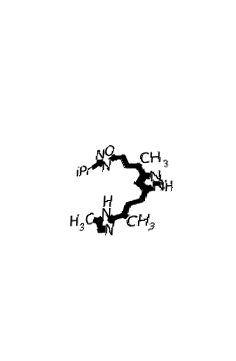 Cc1cnc(C(C)CCc2cc(C(C)CCc3nc(C(C)C)no3)n[nH]2)[nH]1